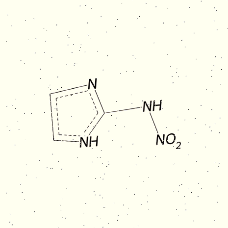 O=[N+]([O-])Nc1ncc[nH]1